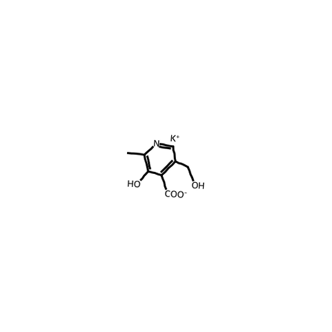 Cc1ncc(CO)c(C(=O)[O-])c1O.[K+]